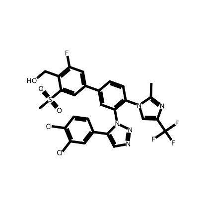 Cc1nc(C(F)(F)F)cn1-c1ccc(-c2cc(F)c(CO)c(S(C)(=O)=O)c2)cc1-n1nncc1-c1ccc(Cl)c(Cl)c1